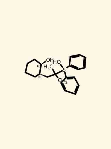 CC(C)(C[C@H]1CCCC[C@H]1O)[Si](O)(c1ccccc1)c1ccccc1